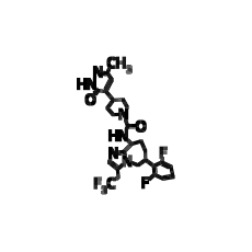 Cc1cc(C2CCN(C(=O)NC3CCC(c4c(F)cccc4F)Cn4c(CC(F)(F)F)cnc43)CC2)c(=O)[nH]n1